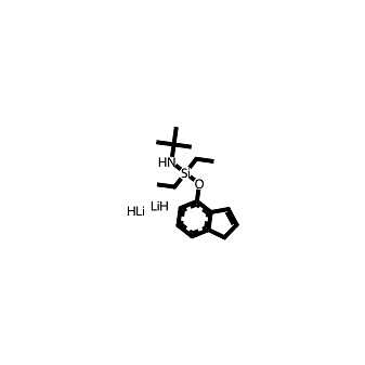 CC[Si](CC)(NC(C)(C)C)Oc1cccc2c1C=CC2.[LiH].[LiH]